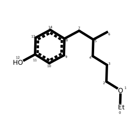 CCOCCCC(C)Cc1ccc(O)cc1